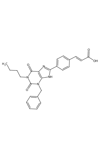 CCCCn1c(=O)c2nc(-c3ccc(C=CC(=O)O)cc3)[nH]c2n(Cc2ccccc2)c1=O